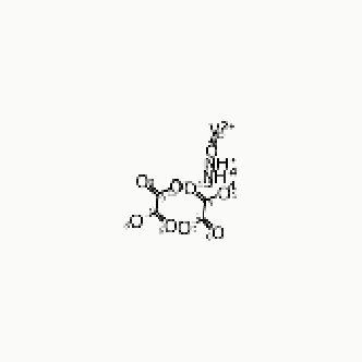 O=C([O-])C(=O)[O-].O=C([O-])C(=O)[O-].[NH4+].[NH4+].[O]=[V+2]